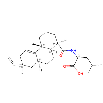 C=C[C@@]1(C)CC=C2[C@@H](CC[C@@H]3[C@](C)(C(=O)N[C@@H](CC(C)C)C(=O)O)CCC[C@@]23C)C1